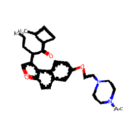 CC(=O)CCC(C(=O)C1CCC1C)c1coc2ccc3cc(OCCN4CCN(C(C)=O)CC4)ccc3c12